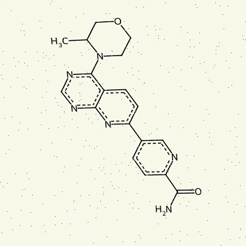 CC1COCCN1c1ncnc2nc(-c3ccc(C(N)=O)nc3)ccc12